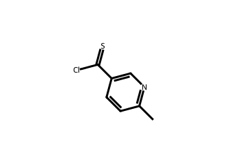 Cc1ccc(C(=S)Cl)cn1